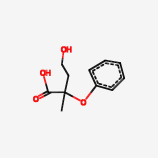 CC(CCO)(Oc1ccccc1)C(=O)O